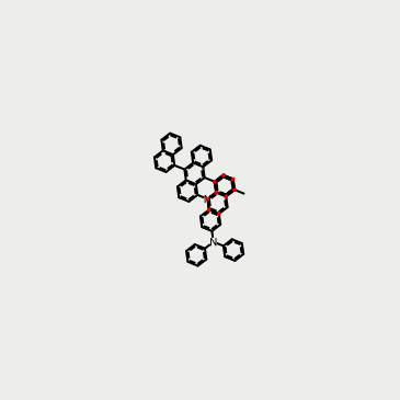 Cc1ccc(-c2c3ccccc3c(-c3cccc4ccccc34)c3cccc(N(c4ccccc4)c4ccc(N(c5ccccc5)c5ccccc5)cc4)c23)c2ccccc12